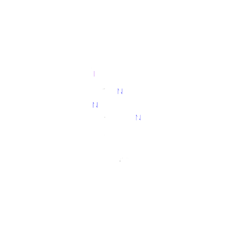 Cn1c(I)nc2cc(C(F)(F)F)cnc21